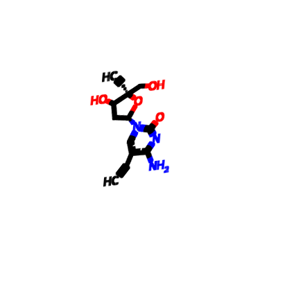 C#Cc1cn([C@H]2CC(O)[C@@](C#C)(CO)O2)c(=O)nc1N